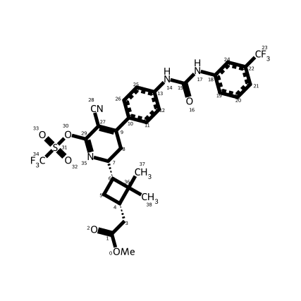 COC(=O)C[C@@H]1C[C@H](C2CC(c3ccc(NC(=O)Nc4cccc(C(F)(F)F)c4)cc3)=C(C#N)C(OS(=O)(=O)C(F)(F)F)=N2)C1(C)C